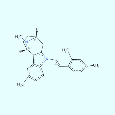 Cc1ccc(/C=C/n2c3c(c4cc(C)ccc42)[C@@H]2CC[C@H](C3)N2C)c(C)c1